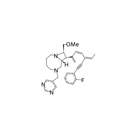 C=C(/C=C\C(C#Cc1ccccc1F)=C/C)[C@@H]1[C@H](COC)N2CCCCN(Cc3cncnc3)C[C@@H]12